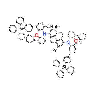 CC(C)c1cc(N(c2cc(-c3ccc([Si](c4ccccc4)(c4ccccc4)c4ccccc4)cc3)ccc2C#N)c2cccc3c2oc2ccccc23)c2ccc3c(C(C)C)cc(N(c4cc(-c5ccc([Si](c6ccccc6)(c6ccccc6)c6ccccc6)cc5)ccc4C#N)c4cccc5c4oc4ccccc45)c4ccc1c2c34